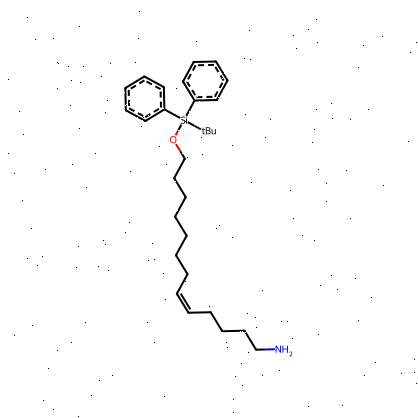 CC(C)(C)[Si](OCCCCCCC/C=C\CCCCN)(c1ccccc1)c1ccccc1